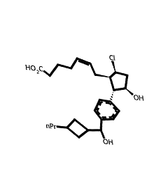 CCCC1CC(C(O)c2ccc([C@@H]3[C@@H](C/C=C\CCCC(=O)O)[C@@H](Cl)C[C@H]3O)cc2)C1